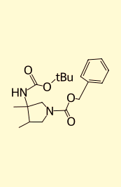 CC1CN(C(=O)OCc2ccccc2)CC1(C)NC(=O)OC(C)(C)C